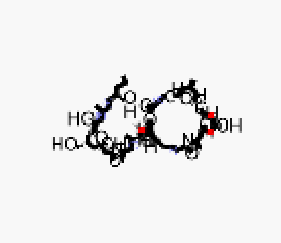 C=C1C[C@@H]2C[C@@H]3C[C@@H](O)C[C@@H](O3)c3coc(n3)/C=C/C[C@H]3O[C@@H](/C(C)=C/c4coc(C[C@]5(O)C[C@H](CO)C[C@H]([C@H](O)/C=C(C)/C=C/[C@H](CO)CCC)O5)n4)[C@H](C)[C@@H](OC(=O)/C=C\C[C@@H](C1)O2)[C@H]3C